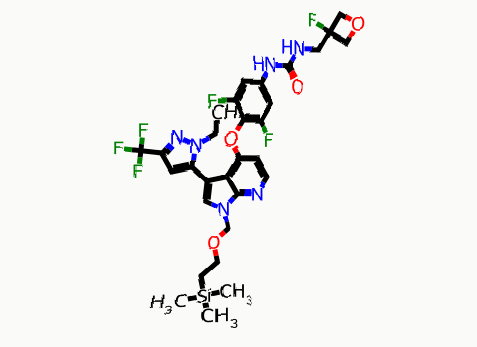 CCn1nc(C(F)(F)F)cc1-c1cn(COCC[Si](C)(C)C)c2nccc(Oc3c(F)cc(NC(=O)NCC4(F)COC4)cc3F)c12